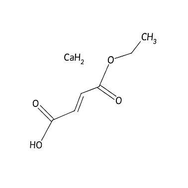 CCOC(=O)C=CC(=O)O.[CaH2]